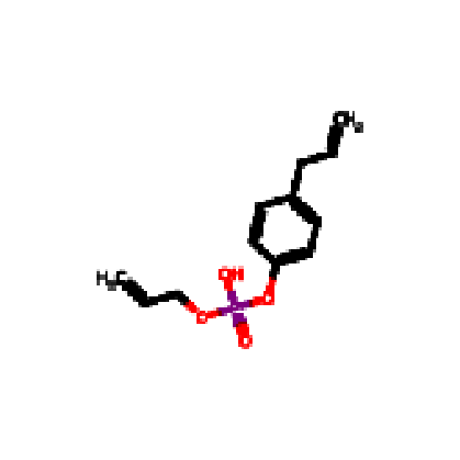 C=CCOP(=O)(O)Oc1ccc(CC=C)cc1